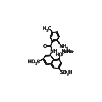 Cc1ccc(N)c(C(=O)Nc2cc(S(=O)(=O)O)cc3cc(S(=O)(=O)O)cc(O)c23)c1.[Na].[Na]